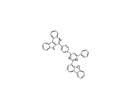 c1ccc(-c2cc(-c3ccc(-c4nc5ccccc5c5c4sc4ccccc45)cc3)nc(-c3cccc4c3oc3ccccc34)n2)cc1